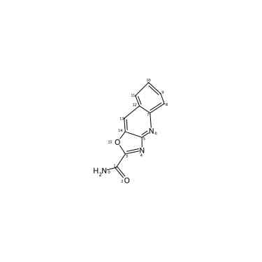 NC(=O)c1nc2nc3ccccc3cc2o1